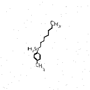 CCCCCCC[CH2][SnH2][c]1ccc(C)cc1